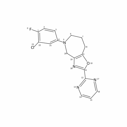 Fc1ccc(N2CCCc3oc(-c4ncccn4)nc3C2)cc1Cl